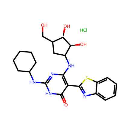 Cl.O=c1[nH]c(NC2CCCCC2)nc(NC2CC(CO)[C@@H](O)[C@H]2O)c1-c1nc2ccccc2s1